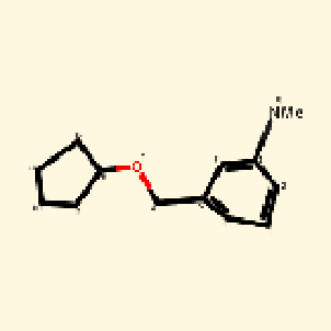 CNc1cccc(COC2CCCC2)c1